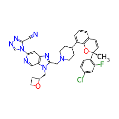 C[C@]1(c2ccc(Cl)cc2F)C=Cc2cccc(C3CCN(Cc4nc5cc(-n6cnnc6C#N)ncc5n4C[C@@H]4CCO4)CC3)c2O1